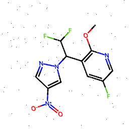 COc1ncc(F)cc1C(C(F)F)n1cc([N+](=O)[O-])cn1